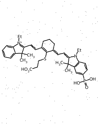 CCN1/C(=C/C=C2\CCCC(/C=C/C3=[N+](CC)c4ccccc4C3(C)C)=C2SCCC(=O)O)C(C)(C)c2cc(P(=O)(O)O)ccc21